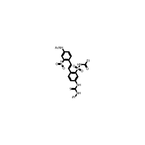 CCC(=O)NS(=O)(=O)c1cc(NC(=S)NC(C)C)ccc1/C=C/c1ccc(NC(C)=O)cc1[SH](=O)=O